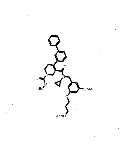 COc1cc(CN(C(=O)C2=C(c3cccc(-c4ccccc4)c3)CCN(C(=O)OC(C)(C)C)C2)C2CC2)cc(OCCCNC(C)=O)c1